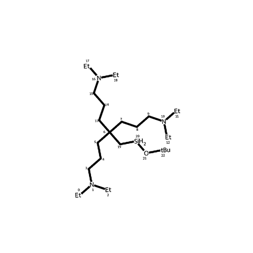 CCN(CC)CCCC(CCCN(CC)CC)(CCCN(CC)CC)C[SiH2]OC(C)(C)C